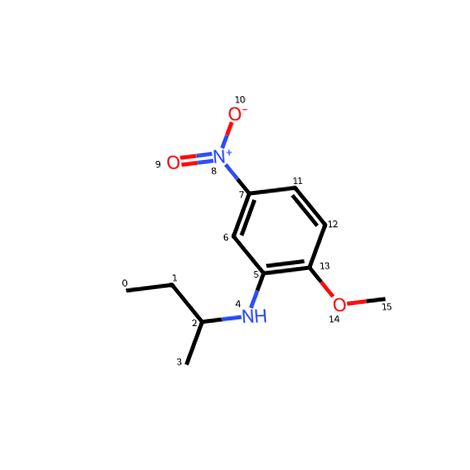 CCC(C)Nc1cc([N+](=O)[O-])ccc1OC